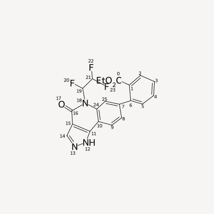 CCOC(=O)c1ccccc1-c1ccc2c3[nH]ncc3c(=O)n(C(F)C(F)F)c2c1